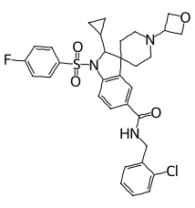 O=C(NCc1ccccc1Cl)c1ccc2c(c1)C1(CCN(C3COC3)CC1)C(C1CC1)N2S(=O)(=O)c1ccc(F)cc1